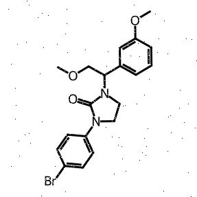 COCC(c1cccc(OC)c1)N1CCN(c2ccc(Br)cc2)C1=O